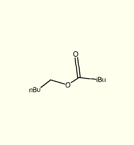 [CH2]CC(C)C(=O)OCCCCC